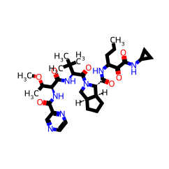 CCCC(NC(=O)[C@@H]1[C@H]2CCC[C@H]2CN1C(=O)[C@@H](NC(=O)[C@@H](NC(=O)c1cnccn1)C(C)OC)C(C)(C)C)C(=O)C(=O)NC1CC1